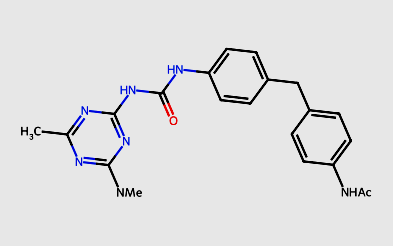 CNc1nc(C)nc(NC(=O)Nc2ccc(Cc3ccc(NC(C)=O)cc3)cc2)n1